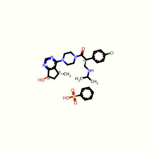 CC(C)NC[C@@H](C(=O)N1CCN(c2ncnc3c2[C@H](C)C[C@H]3O)CC1)c1ccc(Cl)cc1.O=S(=O)(O)c1ccccc1